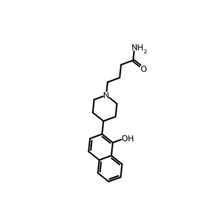 NC(=O)CCCN1CCC(c2ccc3ccccc3c2O)CC1